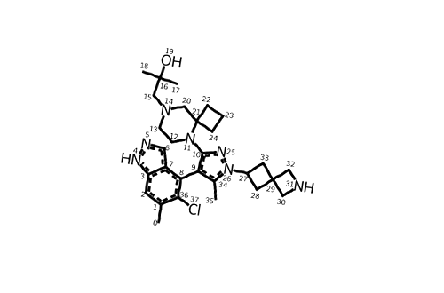 Cc1cc2[nH]ncc2c(-c2c(N3CCN(CC(C)(C)O)CC34CCC4)nn(C3CC4(CNC4)C3)c2C)c1Cl